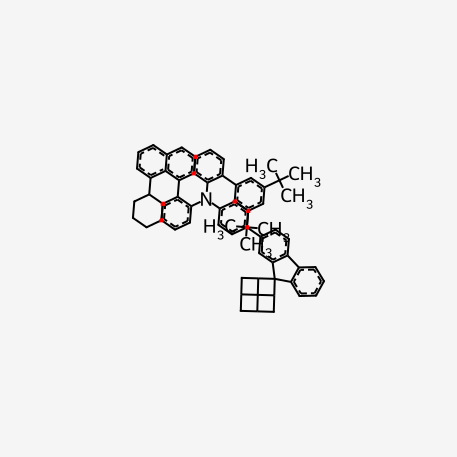 CC(C)(C)c1cc(-c2ccccc2N(c2ccc(-c3ccc4c(c3)C3(c5ccccc5-4)C4CC5CC6CC3C564)cc2)c2ccccc2-c2cccc3cccc(C4CCCCC4)c23)cc(C(C)(C)C)c1